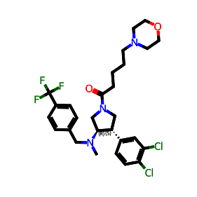 CN(Cc1ccc(C(F)(F)F)cc1)[C@H]1CN(C(=O)CCCCN2CCOCC2)C[C@@H]1c1ccc(Cl)c(Cl)c1